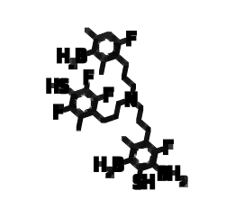 Bc1c(C)cc(F)c(CCCN(CCCc2c(C)c(B)c(S)c(B)c2F)CCCc2c(C)c(F)c(S)c(F)c2F)c1C